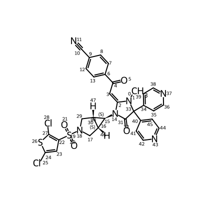 CN1C(=CC(=O)c2ccc(C#N)cc2)N([C@H]2[C@@H]3CN(S(=O)(=O)c4cc(Cl)sc4Cl)C[C@@H]32)C(=O)C1(c1ccncc1)c1ccncc1